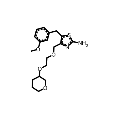 COc1cccc(Cc2sc(N)nc2COCCOC2CCCOC2)c1